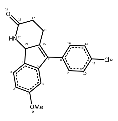 COc1ccc2c(c1)C(c1ccc(Cl)cc1)=C1CCC(=O)NC12